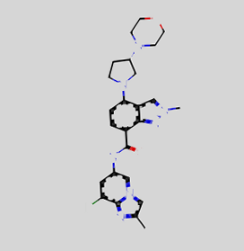 Cc1cn2cc(NC(=O)c3ccc(N4CC[C@@H](N5CCOCC5)C4)c4cn(C)nc34)cc(F)c2n1